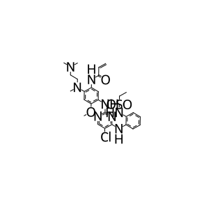 C=CC(=O)Nc1cc(Nc2ncc(Cl)c(Nc3ccccc3NS(=O)(=O)CC)n2)c(OC)cc1N(C)CCN(C)C